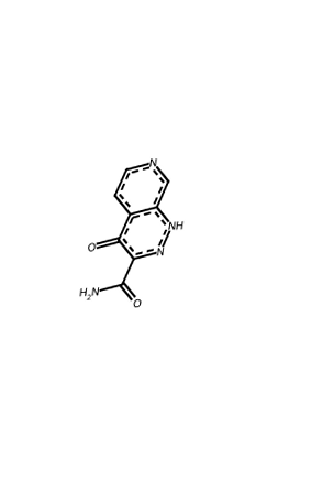 NC(=O)c1n[nH]c2cnccc2c1=O